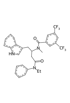 CCN(C(=O)CC(Cc1c[nH]c2ccccc12)N(C)C(=O)c1cc(C(F)(F)F)cc(C(F)(F)F)c1)c1ccccc1